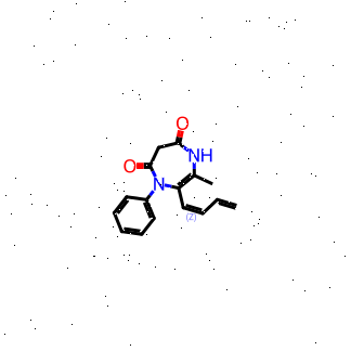 C=C/C=C\C1=C(C)NC(=O)CC(=O)N1c1ccccc1